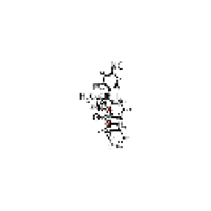 [C-]#[N+]c1ccc(-n2c(C)nc3c(OC4C5COCC4CN(C(=O)OC4(C)CC4)C5)ncnc32)c(F)c1